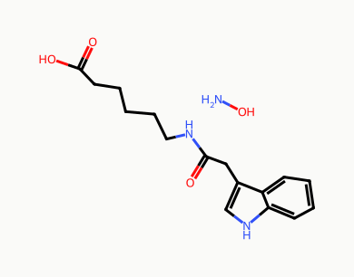 NO.O=C(O)CCCCCNC(=O)Cc1c[nH]c2ccccc12